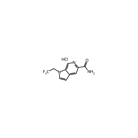 Cl.NC(=O)c1cc2ccn(CC(F)(F)F)c2cn1